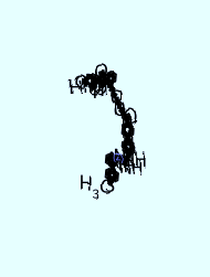 CSc1ccc(-c2ccc/c(=N/C(=N)Nc3ccc(N4CCN(C(=O)CCOCCOCCNc5cccc6c5C(=O)N(C5CCC(=O)NC5=O)C6=O)CC4)cc3)[nH]2)cc1